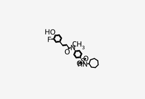 CN(C(=O)C=Cc1ccc(O)c(F)c1)c1ccc(S(=O)(=O)NC2CCCCCC2)cc1